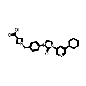 O=C(O)C1CN(Cc2ccc(N3CCN(c4cncc(C5CCCCC5)c4)C3=O)cc2)C1